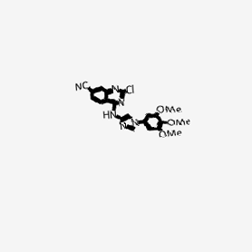 COc1cc(-n2cnc(Nc3nc(Cl)nc4cc(C#N)ccc34)c2)cc(OC)c1OC